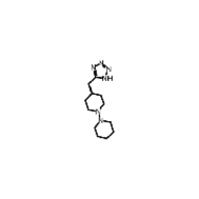 C1CCN(N2CCC(Cc3nnn[nH]3)CC2)CC1